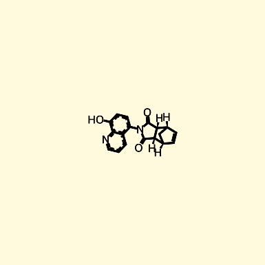 O=C1[C@@H]2[C@H](C(=O)N1c1ccc(O)c3ncccc13)[C@@H]1C=C[C@H]2C1